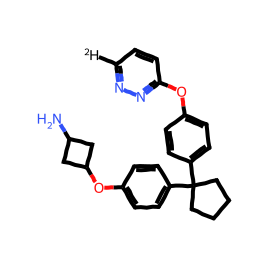 [2H]c1ccc(Oc2ccc(C3(c4ccc(OC5CC(N)C5)cc4)CCCC3)cc2)nn1